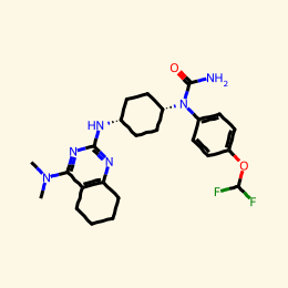 CN(C)c1nc(N[C@H]2CC[C@@H](N(C(N)=O)c3ccc(OC(F)F)cc3)CC2)nc2c1CCCC2